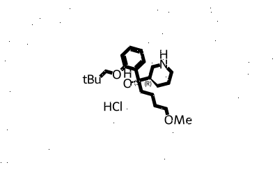 COCCCC[C@@](O)(c1ccccc1OCC(C)(C)C)[C@@H]1CCCNC1.Cl